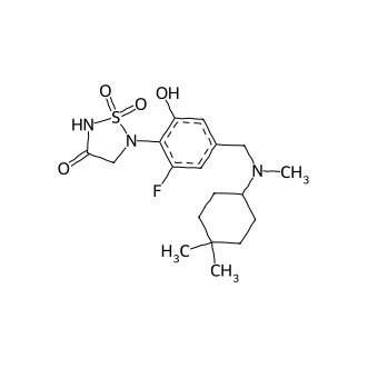 CN(Cc1cc(O)c(N2CC(=O)NS2(=O)=O)c(F)c1)C1CCC(C)(C)CC1